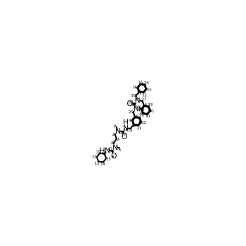 CN(CCCN(C)C(=O)NC1CCCCC1)C(=O)NCc1cccc(CNC(=O)N(Cc2ccccc2)Cc2ccccc2)c1